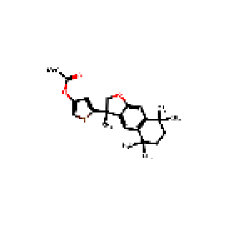 COC(=O)Oc1csc(C2(C)COc3cc4c(cc32)C(C)(C)CCC4(C)C)c1